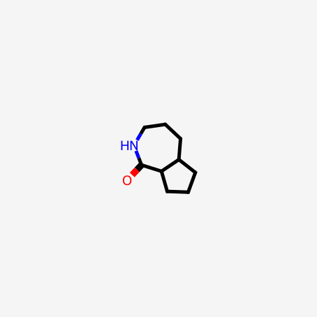 O=C1NCCCC2CCCC12